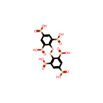 O=S(O)c1cc(S(=O)O)c(SSc2c(S(=O)O)cc(S(=O)O)cc2S(=O)O)c(S(=O)O)c1